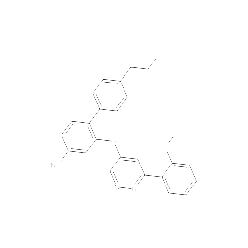 N#Cc1ccc(-c2ccc(CCN)cc2)c(Oc2cnnc(-c3ccccc3OC(F)(F)F)c2)c1